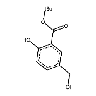 CC(C)(C)OC(=O)c1cc(CO)ccc1O